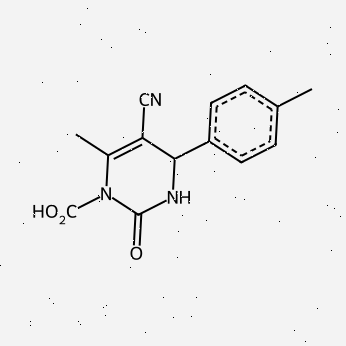 CC1=C(C#N)C(c2ccc(C)cc2)NC(=O)N1C(=O)O